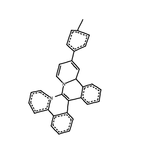 CC1=C(c2ccccc2-c2ccccn2)c2ccccc2C2C=C(c3ccc(C)cc3)C=CN12